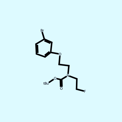 CC(C)(C)OC(=O)N(CCF)CCOc1cccc(Br)c1